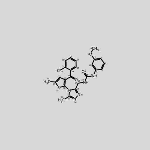 COc1cccc(NC(=O)NCc2nnc(C)n2-c2sc(C)cc2C(=O)c2ccccc2Cl)c1